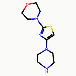 c1sc(N2CCOCC2)nc1N1CCNCC1